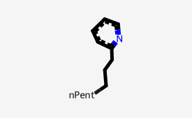 CCCCCCCCc1ccccn1